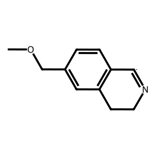 COCc1ccc2c(c1)CCN=[C]2